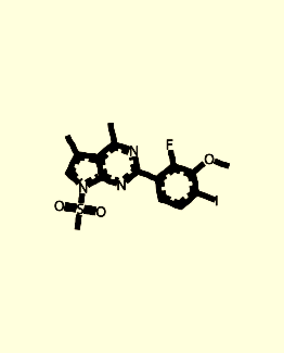 COc1c(I)ccc(-c2nc(C)c3c(C)cn(S(C)(=O)=O)c3n2)c1F